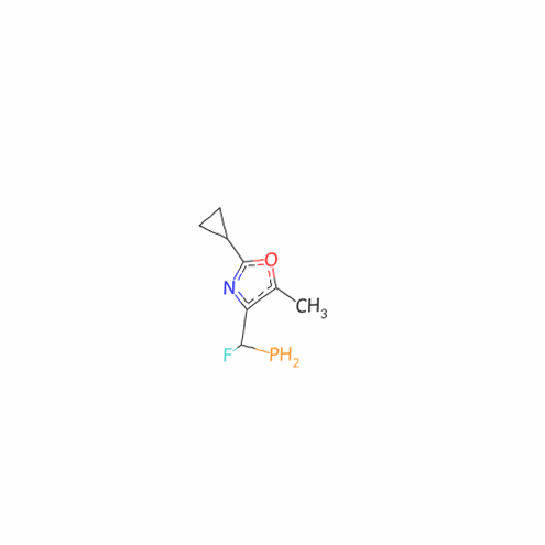 Cc1oc(C2CC2)nc1C(F)P